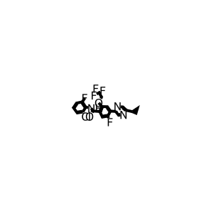 O=C(Nc1c(F)cccc1Cl)c1cc(F)c(-c2cnc(C3CC3)cn2)cc1OCC(F)(F)F